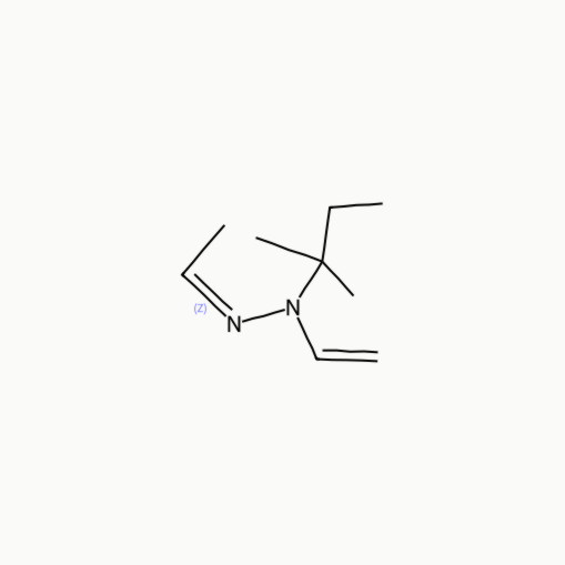 C=CN(/N=C\C)C(C)(C)CC